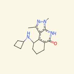 Cc1nn(C)c2[nH]c(=O)c3c(c12)C(NC1CCC1)CCC3